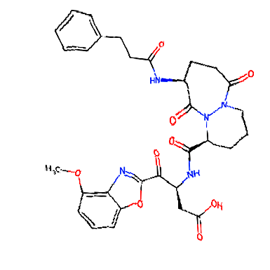 COc1cccc2oc(C(=O)[C@H](CC(=O)O)NC(=O)[C@@H]3CCCN4C(=O)CC[C@H](NC(=O)CCc5ccccc5)C(=O)N34)nc12